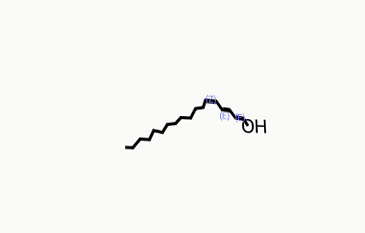 CCCCCCCCCCCC\C=C/C=C/C=C/O